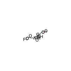 COc1ccc(CCC(=O)N[C@H]2CCN(CCCC(=O)c3ccc(F)cc3)C3CCCC[C@H]32)cc1